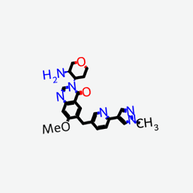 COc1cc2ncn([C@H]3CCOC[C@@H]3N)c(=O)c2cc1Cc1ccc(-c2cnn(C)c2)nc1